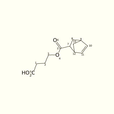 O=C(O)CCCOC(=O)C1CC2C=CC1C2